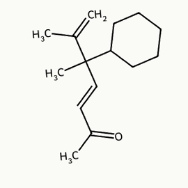 C=C(C)C(C)(C=CC(C)=O)C1CCCCC1